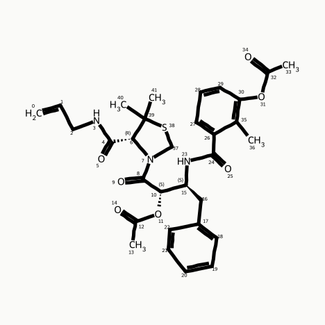 C=CCNC(=O)[C@H]1N(C(=O)[C@@H](OC(C)=O)[C@H](Cc2ccccc2)NC(=O)c2cccc(OC(C)=O)c2C)CSC1(C)C